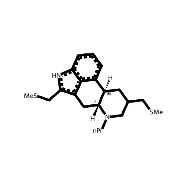 CCCN1CC(CSC)C[C@@H]2c3cccc4[nH]c(CSC)c(c34)C[C@H]21